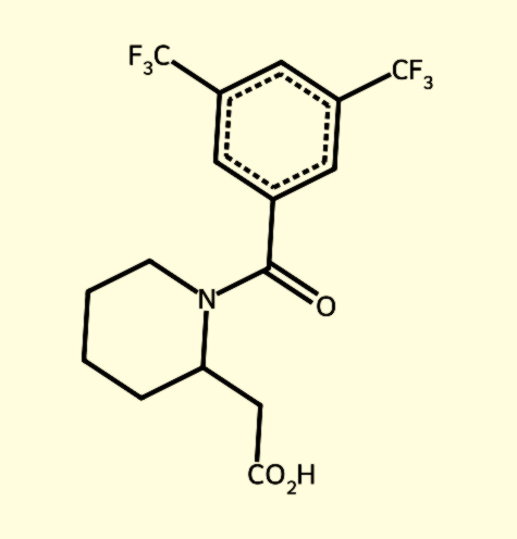 O=C(O)CC1CCCCN1C(=O)c1cc(C(F)(F)F)cc(C(F)(F)F)c1